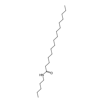 CCCCCCCCCCCCCCCC(=O)NCCCCC